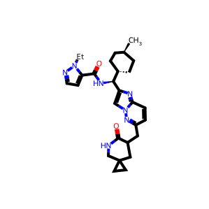 CCn1nccc1C(=O)N[C@H](c1cn2nc(CC3CC4(CC4)CNC3=O)ccc2n1)[C@H]1CC[C@H](C)CC1